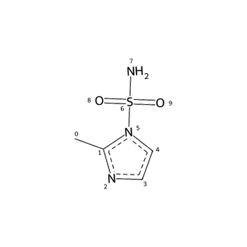 Cc1nccn1S(N)(=O)=O